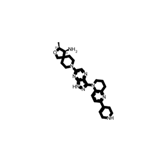 C[C@@H]1OCC2(CCN(c3cnc4c(N5CCCc6nc(C7=CCNCC7)ccc65)n[nH]c4n3)CC2)[C@@H]1N